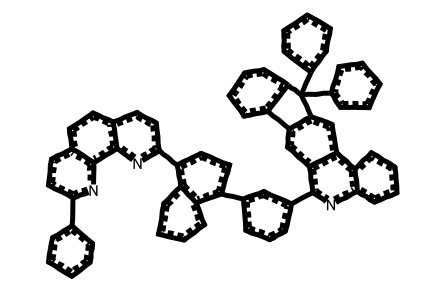 c1ccc(-c2ccc3ccc4ccc(-c5ccc(-c6cccc(-c7nc8ccccc8c8cc9c(cc78)-c7ccccc7C9(c7ccccc7)c7ccccc7)c6)c6ccccc56)nc4c3n2)cc1